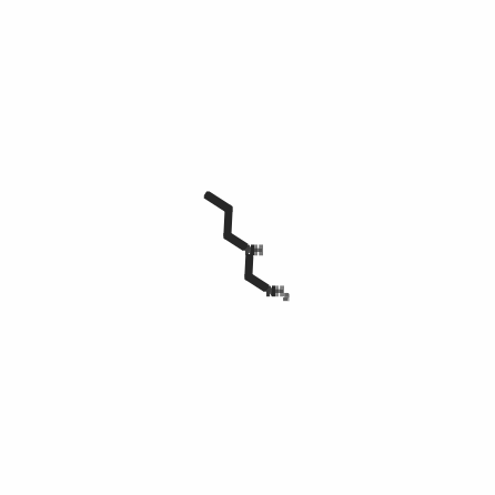 CCCNCN